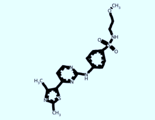 COCCNS(=O)(=O)c1ccc(Nc2nccc(-c3sc(C)nc3C)n2)cc1